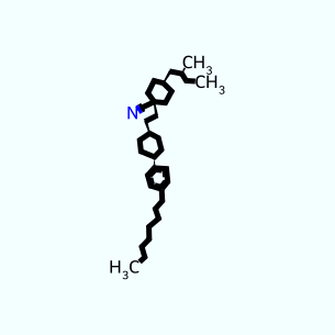 CCCCCCCCc1ccc([C@H]2CC[C@H](CC[C@]3(C#N)CC[C@H](C[C@H](C)CC)CC3)CC2)cc1